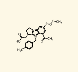 COOSc1cc(C(C)=O)c2c(c1)c1c(n2Cc2ccc(C)cc2)[C@@H](CC(=O)O)CC1